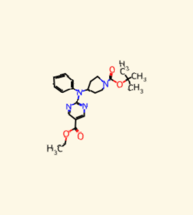 CCOC(=O)c1cnc(N(c2ccccc2)C2CCN(C(=O)OC(C)(C)C)CC2)nc1